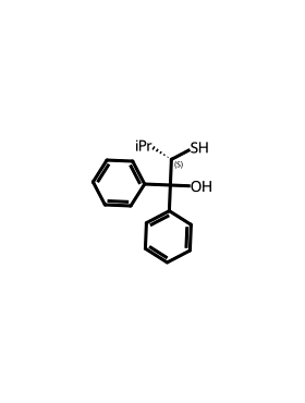 CC(C)[C@H](S)C(O)(c1ccccc1)c1ccccc1